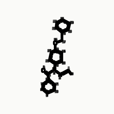 CC=NN(C(=O)c1ccccc1)c1ccc(OCc2ccccc2)cc1